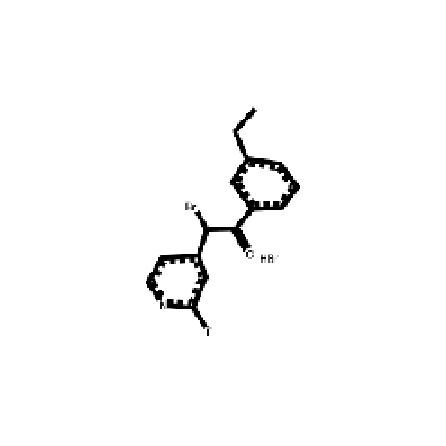 Br.CCc1cccc(C(=O)C(Br)c2ccnc(F)c2)c1